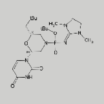 CN1CCN(C)C1=NP(=O)(OC(C)(C)C)N1C[C@@H](CC(C)(C)C)O[C@@H](n2ccc(=O)[nH]c2=O)C1